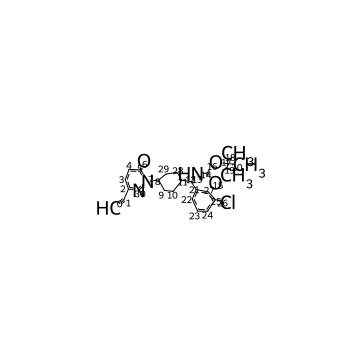 C#Cc1ccc(=O)n(C2CCC(C(NC(=O)OC(C)(C)C)c3cccc(Cl)c3)CC2)n1